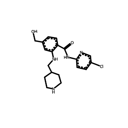 O=C(Nc1ccc(Cl)cn1)c1ccc(CO)cc1NCC1CCNCC1